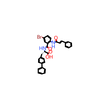 O=C(C=Cc1ccccc1)Nc1ccc(Br)cc1C(=O)N[C@@H](Cc1ccc(-c2ccccc2)cc1)C(=O)O